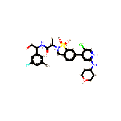 CCc1cc(F)cc(C(CO)NC(=O)C(C)N2Cc3ccc(-c4cc(NC5CCOCC5)ncc4Cl)cc3S2(=O)=O)c1